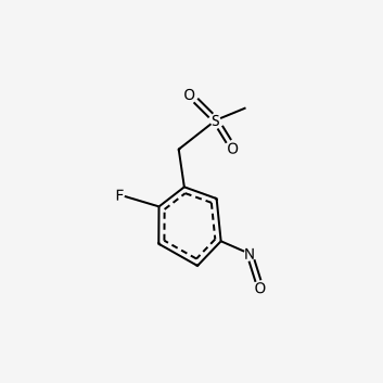 CS(=O)(=O)Cc1cc(N=O)ccc1F